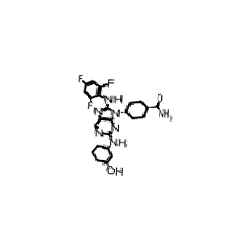 NC(=O)[C@H]1CC[C@H](n2c(Nc3c(F)cc(F)cc3F)nc3cnc(N[C@@H]4CCC[C@@H](O)C4)nc32)CC1